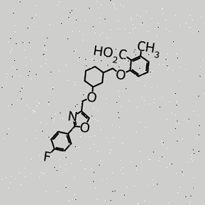 Cc1cccc(OCC2CCCC(OCc3coc(-c4ccc(F)cc4)n3)C2)c1C(=O)O